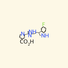 O=C(O)c1ccnc(-c2c[nH]c(CCC3CNc4ccc(F)cc43)n2)c1